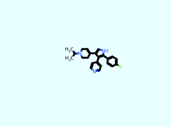 CC(C)N1CC=C(c2c[nH]c(-c3ccc(F)cc3)c2-c2ccncc2)CC1